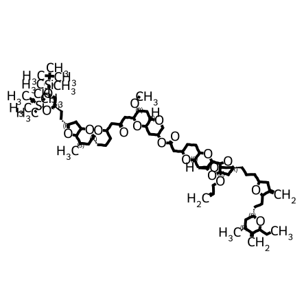 C=CCO[C@]12C[C@]3(CCCC4CC(=C)C(CC[C@H]5C[C@@H](C)C(=C)C(CC)O5)O4)OC4C(O1)C(OC1CCC(CC(=O)OC5CO[C@H]6C[C@@H](OC)C(CC(=O)CC7CCC[C@@]8(C[C@H](C)C9O[C@H](CC[C@H](CO[Si](C)(C)C(C)(C)C)O[Si](C)(C)C(C)(C)C)CC9O8)O7)OC6C5)O[C@@H]14)C2O3